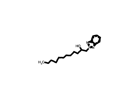 CCCCCCCCCCC(O)Cn1nc2ccccc2n1